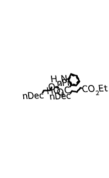 CCCCCCCCCCCCCC(=O)OCC.CCCCCCCCCCCCOC(=O)CCC.Nc1ccccc1C(=O)O